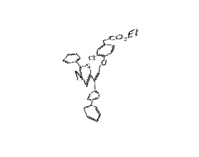 CCOC(=O)Cc1ccc(OCC=C(c2ccc(-c3ccccc3)cc2)c2cnc(-c3ccccc3)s2)c(Cl)c1